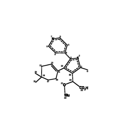 Cc1sc(-c2ccncc2)c(C2=CCC(C)(C)CC2)c1C(OC(C)(C)C)C(=O)O